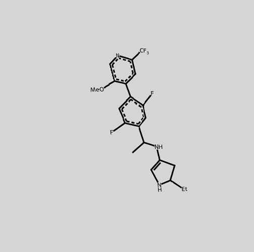 CCC1CC(NC(C)c2cc(F)c(-c3cc(C(F)(F)F)ncc3OC)cc2F)=CN1